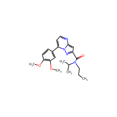 CCCN(C(=O)c1cc2nccc(-c3ccc(OC)c(OC)c3)n2n1)C(C)C